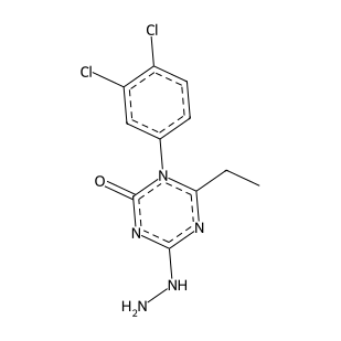 CCc1nc(NN)nc(=O)n1-c1ccc(Cl)c(Cl)c1